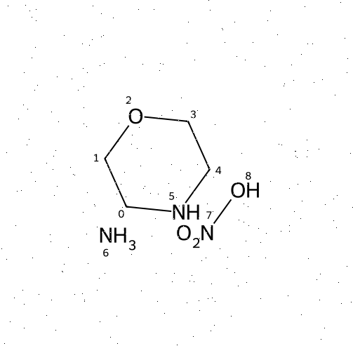 C1COCCN1.N.O=[N+]([O-])O